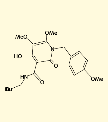 CCC(C)CNC(=O)c1c(O)c(OC)c(OC)n(Cc2ccc(OC)cc2)c1=O